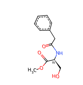 COC(=O)[C@H](CO)NC(=O)Cc1ccccc1